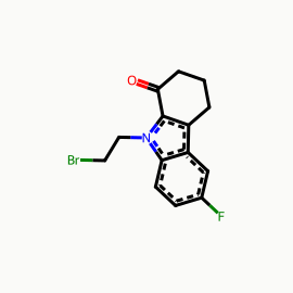 O=C1CCCc2c1n(CCBr)c1ccc(F)cc21